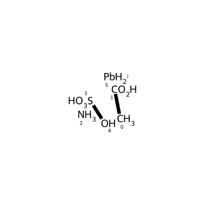 CC(=O)O.N.O=S(=O)(O)O.[PbH2]